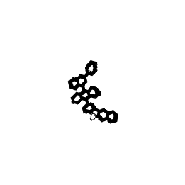 C1=Cc2c(c(-c3ccc4oc5cc6ccccc6cc5c4c3)c3ccccc3c2-c2cc(-c3ccccc3)cc3ccccc23)CC1